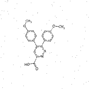 COc1ccc(-c2cc(C(=O)O)nnc2-c2ccc(OC)cc2)cc1